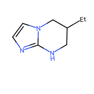 CCC1CNc2nccn2C1